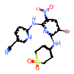 N#Cc1ccc(Nc2nc(NC3CCS(=O)(=O)CC3)c(Br)cc2[N+](=O)[O-])nc1